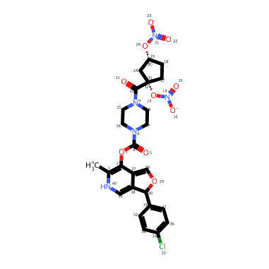 CC1=C(OC(=O)N2CCN(C(=O)[C@]3(O[N+](=O)[O-])CC[C@@H](O[N+](=O)[O-])C3)CC2)C2=COC(c3ccc(Cl)cc3)C2=CN1